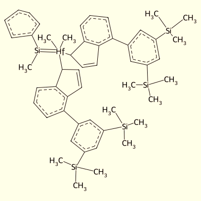 C[Si](c1ccccc1)=[Hf]([CH3])([CH3])([CH]1C=Cc2c(-c3cc([Si](C)(C)C)cc([Si](C)(C)C)c3)cccc21)[CH]1C=Cc2c(-c3cc([Si](C)(C)C)cc([Si](C)(C)C)c3)cccc21